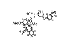 COc1ccc(OCCCN(C)CCOc2ccc3c(c2)OOC3)c(C2(SC)Sc3ccccc3N(C)C2=O)c1.Cl